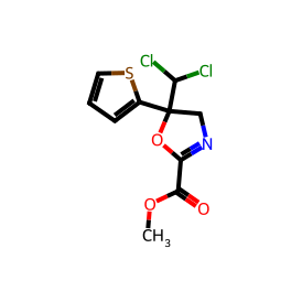 COC(=O)C1=NCC(c2cccs2)(C(Cl)Cl)O1